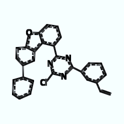 C=Cc1cccc(-c2nc(Cl)nc(-c3cccc4oc5ccc(-c6ccccc6)cc5c34)n2)c1